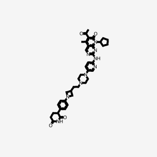 CC(=O)c1c(C)c2cnc(Nc3ccc(N4CCN(CCC5CN(c6ccc(C7CCC(=O)NC7=O)cc6)C5)CC4)cn3)nc2n(C2CCCC2)c1=O